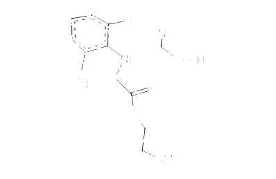 CCc1cccc(C)c1N[C@@H](C)C(=O)OCCSC.NCC(=O)O